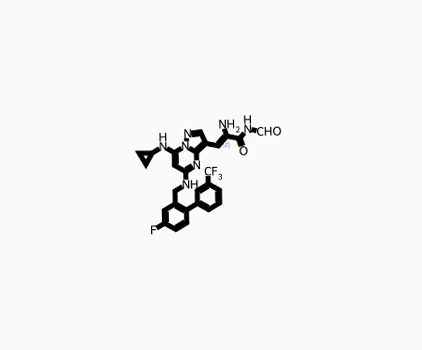 N/C(=C\c1cnn2c(NC3CC3)cc(NCc3cc(F)ccc3-c3cccc(C(F)(F)F)c3)nc12)C(=O)NC=O